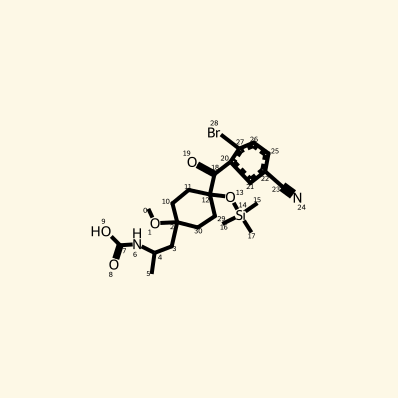 COC1(CC(C)NC(=O)O)CCC(O[Si](C)(C)C)(C(=O)c2cc(C#N)ccc2Br)CC1